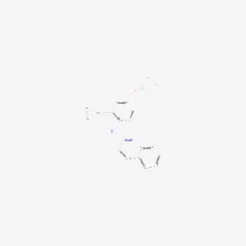 Clc1cccc2ccc(Nc3ccc(OC4CCC4)cc3C3CC3)nc12